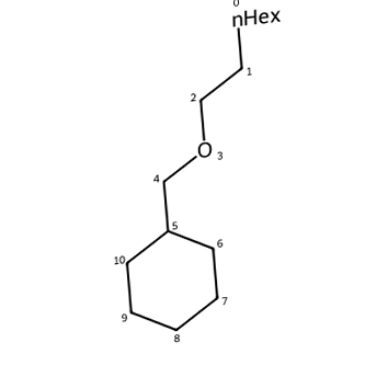 CCCCCCCCOCC1CCCCC1